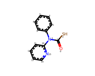 O=C(S)N(c1ccccc1)c1ccccn1